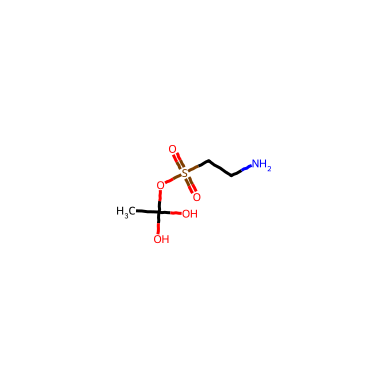 CC(O)(O)OS(=O)(=O)CCN